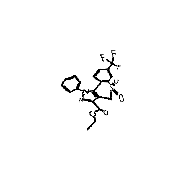 CCOC(=O)c1nn(-c2ccccc2)c2c1CS(=O)(=O)c1cc(C(F)(F)F)ccc1-2